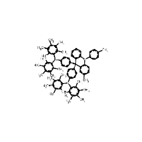 Cc1ccc(N2c3ccccc3C(c3ccc(N(c4c(C)c(C)c(C)c(C)c4C)c4c(C)c(C)c(C)c(C)c4C)cc3)(c3ccc(N(c4c(C)c(C)c(C)c(C)c4C)c4c(C)c(C)c(C)c(C)c4C)cc3)c3cc(C)ccc32)cc1